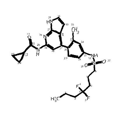 CCCC(F)(F)CCCS(=O)(=O)Nc1ccc(-c2cc(NC(=O)C3CC3)nc3[nH]ccc23)c(C)c1